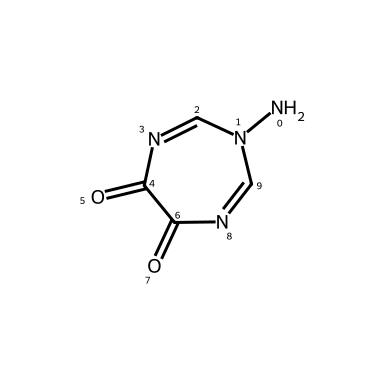 Nn1cnc(=O)c(=O)nc1